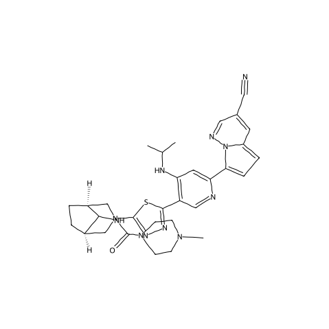 CC(C)Nc1cc(-c2ccc3cc(C#N)cnn23)ncc1-c1nnc(N2C[C@H]3CC[C@@H](C2)C3NC(=O)N2CCN(C)CC2)s1